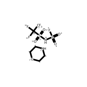 C1COCCN1.O=S(=O)(F)NS(=O)(=O)C(F)(F)C(F)(F)F